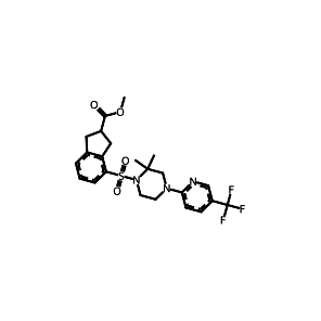 COC(=O)C1Cc2cccc(S(=O)(=O)N3CCN(c4ccc(C(F)(F)F)cn4)CC3(C)C)c2C1